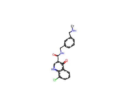 CCNCc1cccc(CNC(=O)c2c[nH]c3c(Cl)cccc3c2=O)c1